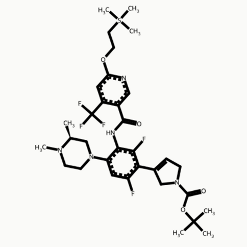 C[C@H]1CN(c2cc(F)c(C3=CCN(C(=O)OC(C)(C)C)C3)c(F)c2NC(=O)c2cnc(OCCS(C)(C)C)cc2C(F)(F)F)CCN1C